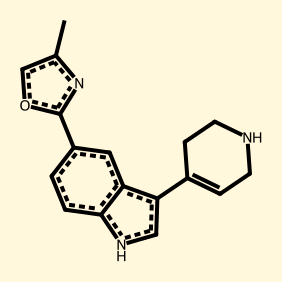 Cc1coc(-c2ccc3[nH]cc(C4=CCNCC4)c3c2)n1